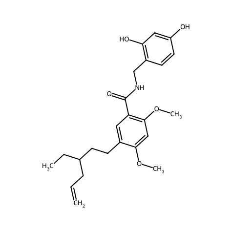 C=CCC(CC)CCc1cc(C(=O)NCc2ccc(O)cc2O)c(OC)cc1OC